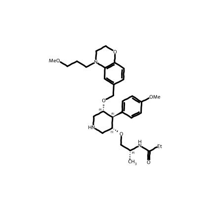 CCC(=O)N[C@H](C)CO[C@@H]1CNC[C@H](OCc2ccc3c(c2)N(CCCOC)CCO3)[C@H]1c1ccc(OC)cc1